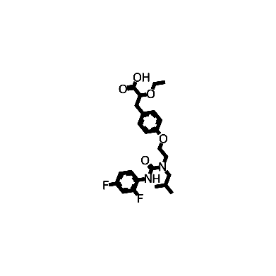 CCOC(Cc1ccc(OCCN(CC(C)C)C(=O)Nc2ccc(F)cc2F)cc1)C(=O)O